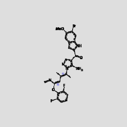 C=N/C(=C\C(C)=C(/C)n1ncc(C(=O)c2cc3cc(OC)c(Br)cc3[nH]2)c1N)Oc1c(F)cccc1F